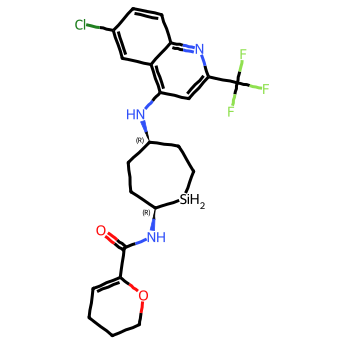 O=C(N[C@H]1CC[C@@H](Nc2cc(C(F)(F)F)nc3ccc(Cl)cc23)CC[SiH2]1)C1=CCCCO1